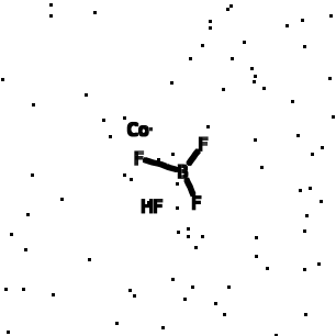 F.FB(F)F.[Co]